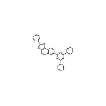 c1ccc(-c2cc(-c3ccccc3)nc(-c3ccc4c(ccc5sc(-c6ccccc6)nc54)c3)n2)cc1